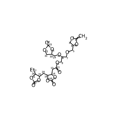 C=C1OCC(COCC(COC(=O)CC2OC(=O)OC2CC2OC(=O)OC2CC)OCC2COC(=O)O2)O1